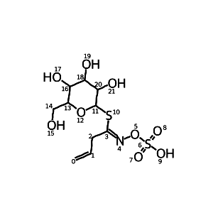 C=CC/C(=N/OS(=O)(=O)O)SC1OC(CO)C(O)C(O)C1O